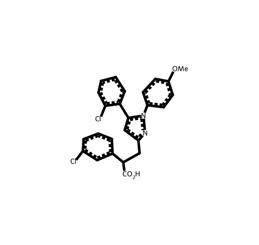 COc1ccc(-n2nc(CC(C(=O)O)c3cccc(Cl)c3)cc2-c2ccccc2Cl)cc1